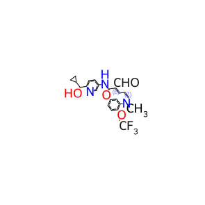 CN(/C=C\C=C(/C=O)C(=O)Nc1ccc(C(O)C2CC2)nc1)c1ccccc1OCC(F)(F)F